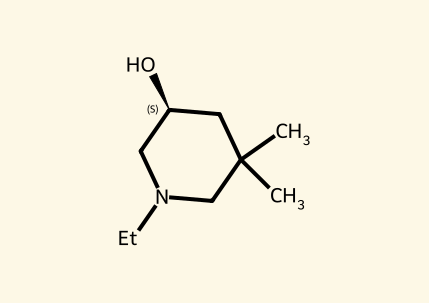 CCN1C[C@@H](O)CC(C)(C)C1